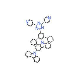 c1ccc(-c2cc(-c3nc(-c4ccncc4)nc(-c4ccncc4)n3)cc(-c3ccccc3)c2-n2c3ccccc3c3cc(-n4c5ccccc5c5ccccc54)ccc32)cc1